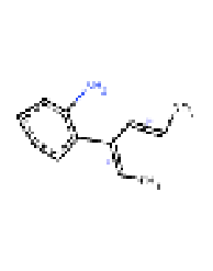 C/C=C(\C=C\[N+](=O)[O-])c1ccccc1N